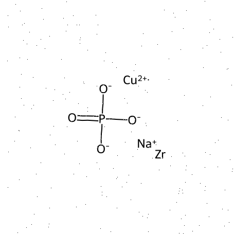 O=P([O-])([O-])[O-].[Cu+2].[Na+].[Zr]